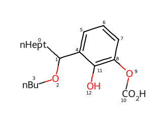 CCCCCCCC(OCCCC)c1cccc(OC(=O)O)c1O